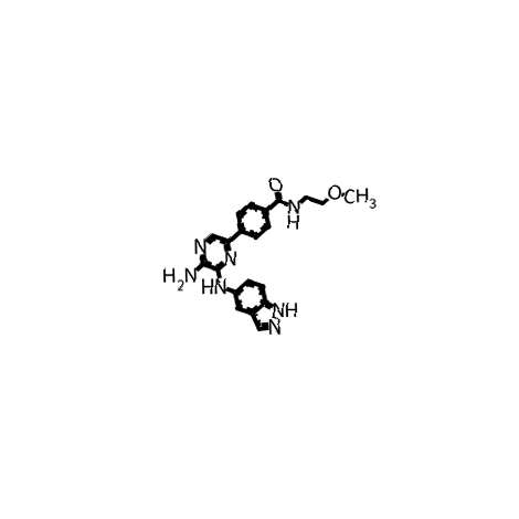 COCCNC(=O)c1ccc(-c2cnc(N)c(Nc3ccc4[nH]ncc4c3)n2)cc1